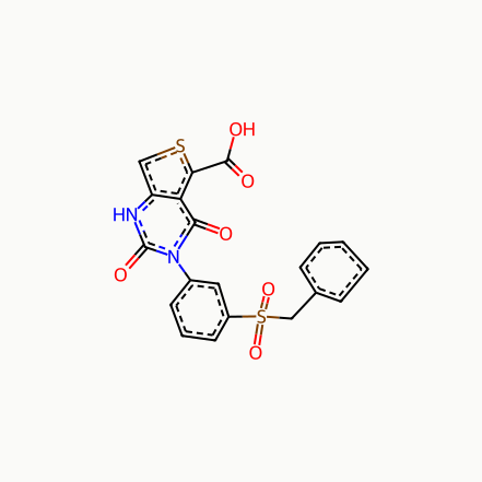 O=C(O)c1scc2[nH]c(=O)n(-c3cccc(S(=O)(=O)Cc4ccccc4)c3)c(=O)c12